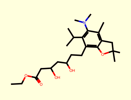 CCOC(=O)CC(O)CC(O)CCc1c2c(c(C)c(N(C)C)c1C(C)C)CC(C)(C)O2